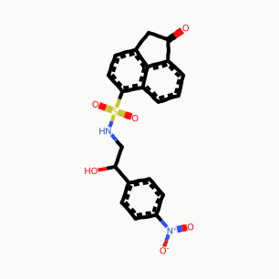 O=C1Cc2ccc(S(=O)(=O)NCC(O)c3ccc([N+](=O)[O-])cc3)c3cccc1c23